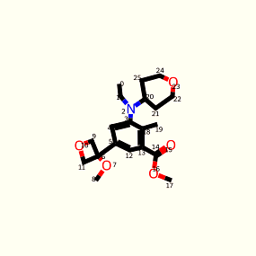 CCN(c1cc(C2(OC)COC2)cc(C(=O)OC)c1C)C1CCOCC1